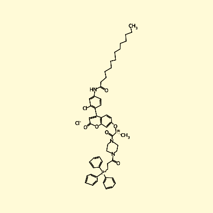 CCCCCCCCCCCCCC(=O)Nc1ccc(-c2cc(=O)oc3cc(O[C@H](C)C(=O)N4CCN(C(=O)CC[P+](c5ccccc5)(c5ccccc5)c5ccccc5)CC4)ccc23)c(Cl)c1.[Cl-]